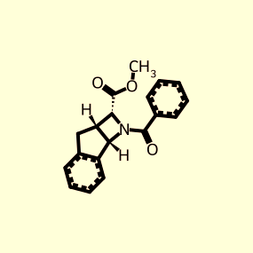 COC(=O)[C@H]1[C@H]2Cc3ccccc3[C@H]2N1C(=O)c1ccccc1